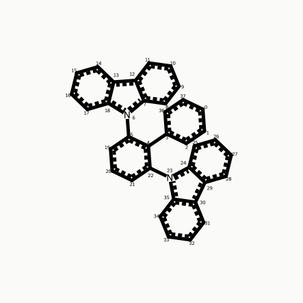 c1ccc(-c2c(-n3c4ccccc4c4ccccc43)cccc2-n2c3ccccc3c3ccccc32)cc1